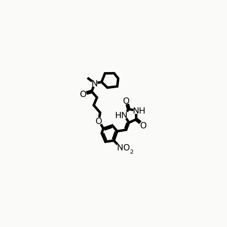 CN(C(=O)CCCOc1ccc([N+](=O)[O-])c(C=C2NC(=O)NC2=O)c1)C1CCCCC1